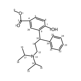 COC(=O)c1ccc(O)c(C(CCN(C(C)C)C(C)C)c2ccccc2)c1